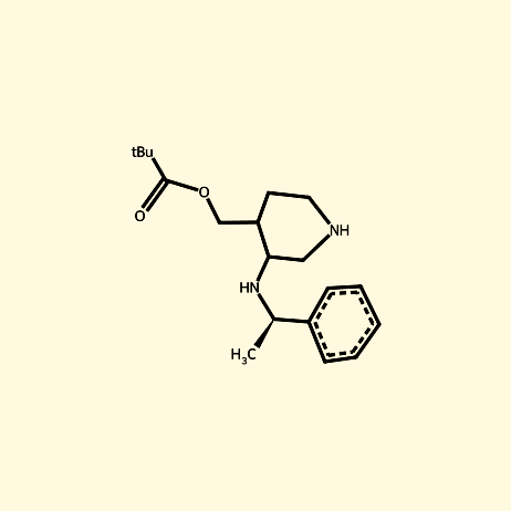 C[C@@H](NC1CNCCC1COC(=O)C(C)(C)C)c1ccccc1